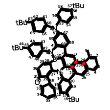 Cc1ccccc1-c1cc2c3c(c1)N(c1ccc(C(C)(C)C)cc1-c1ccccc1)c1c(ccc4oc5ccccc5c14)B3N(c1ccc(C(C)(C)C)cc1)c1cc(N(c3ccc(C(C)(C)C)cc3)c3ccc(C(C)(C)C)cc3)ccc1-2